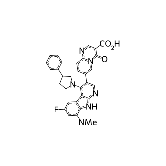 CNc1cc(F)cc2c1[nH]c1ncc(-c3ccc4ncc(C(=O)O)c(=O)n4c3)c(N3CCC(c4ccccc4)C3)c12